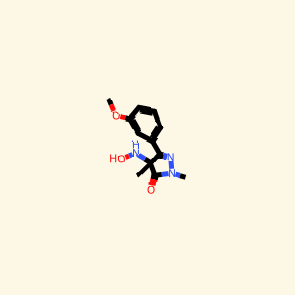 COc1cccc(C2=NN(C)C(=O)C2(C)NO)c1